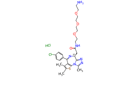 Cc1sc2c(c1C)C(c1ccc(Cl)cc1)=N[C@@H](CC(=O)NCCOCCOCCOCCN)c1nnc(C)n1-2.Cl